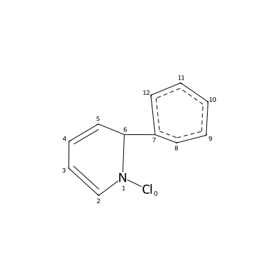 ClN1C=CC=CC1c1ccccc1